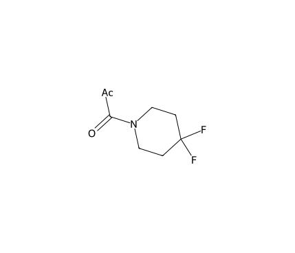 CC(=O)C(=O)N1CCC(F)(F)CC1